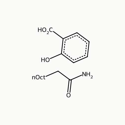 CCCCCCCCCC(N)=O.O=C(O)c1ccccc1O